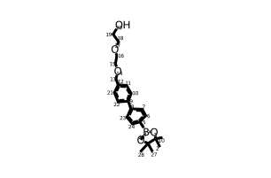 CC1(C)OB(c2ccc(-c3ccc(COCCOCCO)cc3)cc2)OC1(C)C